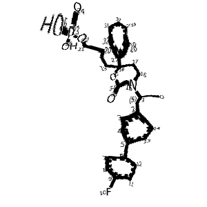 C[C@@H](c1ccc(-c2ccc(F)cc2)cc1)N1CCC(CCCOP(=O)(O)O)(c2ccccc2)OC1=O